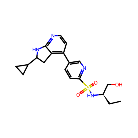 CC[C@H](CO)NS(=O)(=O)c1ccc(-c2ccnc3c2CC(C2CC2)N3)cn1